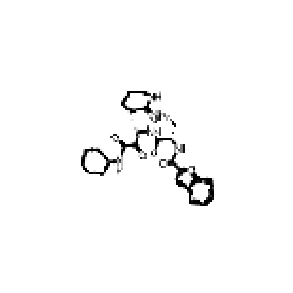 CC(C)C[C@H](NC(=O)c1cc2ccccc2o1)C(=O)N[C@@H](C[C@@H]1CCCNC1=O)C(=O)C(=O)NC1CCCCC1